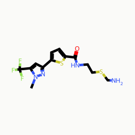 Cn1nc(-c2ccc(C(=O)NCCSCN)s2)cc1C(F)(F)F